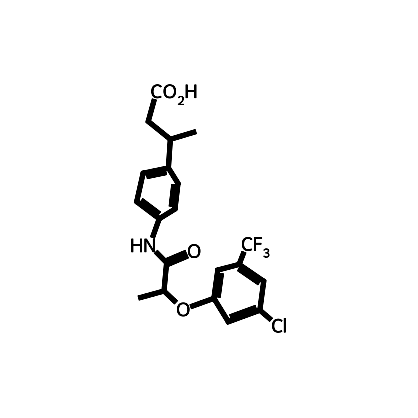 CC(Oc1cc(Cl)cc(C(F)(F)F)c1)C(=O)Nc1ccc(C(C)CC(=O)O)cc1